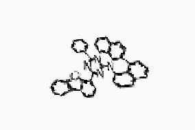 c1ccc(-c2nc(-c3cccc4c3oc3ccccc34)nc(N3c4c(ccc5ccccc45)-c4cccc5cccc3c45)n2)cc1